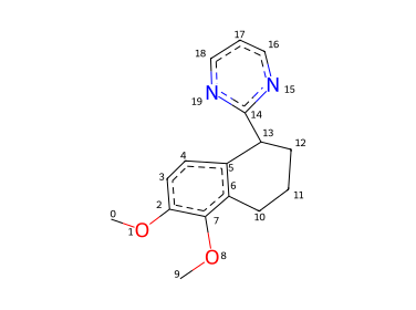 COc1ccc2c(c1OC)CCCC2c1ncccn1